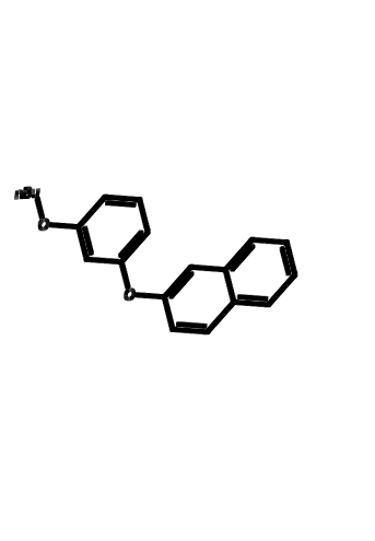 [CH2]CCCOc1cccc(Oc2ccc3ccccc3c2)c1